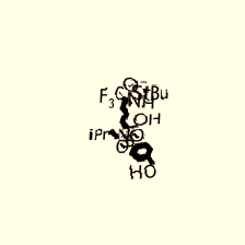 CC(C)CCN([C@H](CO)CCC[C@@H](N[S+]([O-])C(C)(C)C)C(F)(F)F)S(=O)(=O)c1ccc(CO)cc1